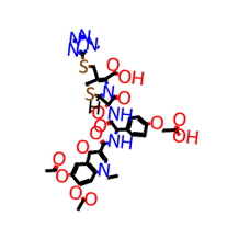 CCn1cc(C(=O)NC(C(=O)N[C@]2(OC)C(=O)N3C(C(=O)O)=C(CSc4nnnn4C)CS[C@H]32)c2ccc(OCC(=O)O)cc2)c(=O)c2cc(OC(C)=O)c(OC(C)=O)cc21